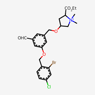 CCOC(=O)C1CC(OCc2cc(C=O)cc(OCc3ccc(Cl)cc3Br)c2)C[N+]1(C)C